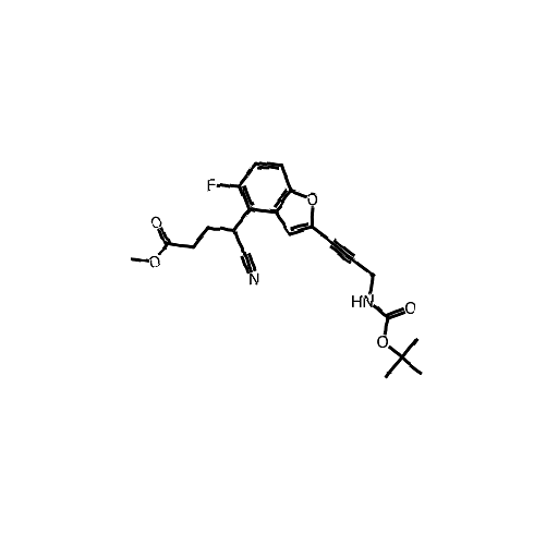 COC(=O)CCC(C#N)c1c(F)ccc2oc(C#CCNC(=O)OC(C)(C)C)cc12